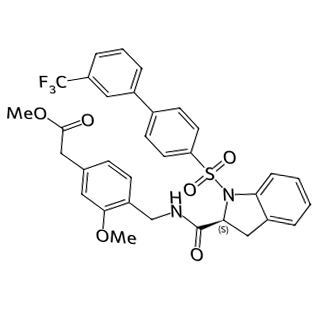 COC(=O)Cc1ccc(CNC(=O)[C@@H]2Cc3ccccc3N2S(=O)(=O)c2ccc(-c3cccc(C(F)(F)F)c3)cc2)c(OC)c1